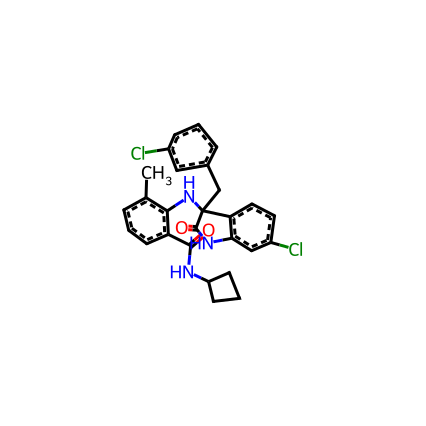 Cc1cccc(C(=O)NC2CCC2)c1NC1(Cc2cccc(Cl)c2)C(=O)Nc2cc(Cl)ccc21